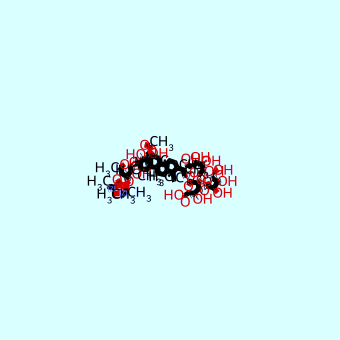 C/C=C(/C)C(=O)O[C@@H]1C(O)[C@H](O[C@H]2[C@H](O)[C@@]3(COC(C)=O)C(CC2(C)C)C2=CCC4[C@@]5(C)CC[C@H](O[C@@H]6OC(C(=O)O)[C@@H](O)[C@@H](O[C@@H]7O[C@@H](CO)[C@@H](O)C7O)C6O[C@@H]6OC(CO)[C@H](O)[C@@H](O)C6O)C(C)(C)C5CC[C@@]4(C)[C@]2(C)C[C@H]3O)OC(C)[C@@H]1OC(=O)/C(C)=C\C